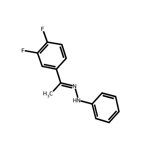 C/C(=N\Nc1ccccc1)c1ccc(F)c(F)c1